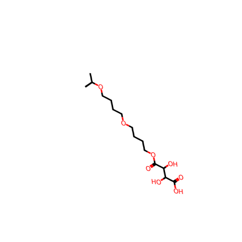 CC(C)OCCCCOCCCCOC(=O)C(O)C(O)C(=O)O